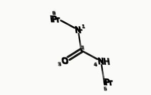 CC(C)[N]C(=O)NC(C)C